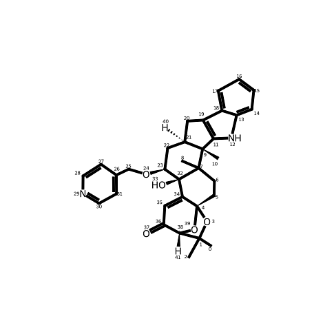 CC1(C)O[C@@]23CCC4(C)[C@@]5(C)c6[nH]c7ccccc7c6C[C@@H]5C[C@H](OCc5ccncc5)[C@@]4(O)C2=CC(=O)[C@@H]1O3